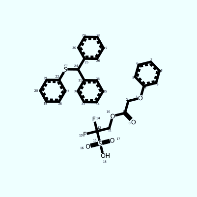 O=C(COc1ccccc1)OCC(F)(F)S(=O)(=O)O.c1ccc(SC(c2ccccc2)c2ccccc2)cc1